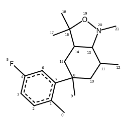 Cc1ccc(F)cc1C1(C)CC(C)C2C(C1)C(C)(C)ON2C